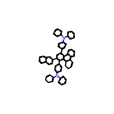 C1=CC(N(c2ccccc2)c2ccc(-c3c(-c4ccc5ccccc5c4)cc(-c4ccc(N(c5ccccc5)c5ccccc5)cc4)c4c3c3c(c5ccccc54)C=CCC3)cc2)=CCC1